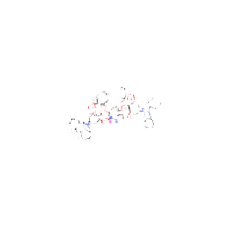 CC1C(N(C2=CCCC=C2)c2ccccc2)=CC2=C3B(C4=C(C=CCC4)OC31)c1cc3c(nc1O2)Oc1cc(N2C4=CC=CCC4c4ccccc42)cc2c1B3c1ccccc1O2